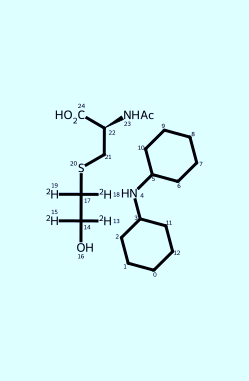 C1CCC(NC2CCCCC2)CC1.[2H]C([2H])(O)C([2H])([2H])SC[C@H](NC(C)=O)C(=O)O